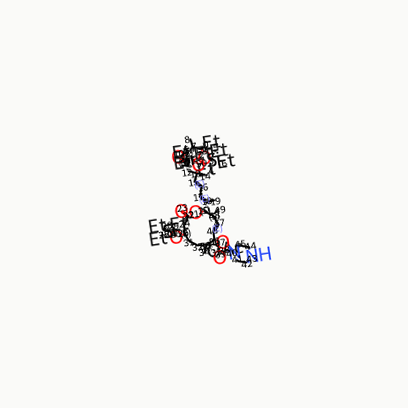 CCC(O[Si](CC)(CC)CC)C(C)[C@@H]1O[C@H]1CC(C)(/C=C/C=C(\C)[C@H]1OC(=O)C[C@H](O[Si](CC)(CC)CC)CC[C@@](C)(OC(C)=O)[C@@H](OC(=O)N2CCNCC2)/C=C/[C@@H]1C)O[Si](CC)(CC)CC